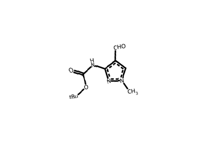 Cn1cc(C=O)c(NC(=O)OC(C)(C)C)n1